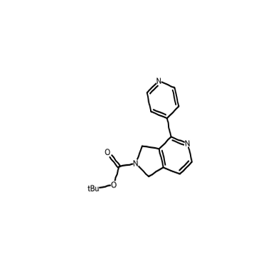 CC(C)(C)OC(=O)N1Cc2ccnc(-c3ccncc3)c2C1